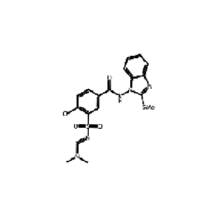 CSc1nc2ccccc2n1NC(=O)c1ccc(Cl)c(S(=O)(=O)N=CN(C)C)c1